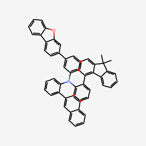 CC1(C)c2ccccc2-c2c(-c3ccccc3N(c3cccc(-c4ccc5c(c4)oc4ccccc45)c3)c3ccccc3-c3ccc4ccccc4c3)cccc21